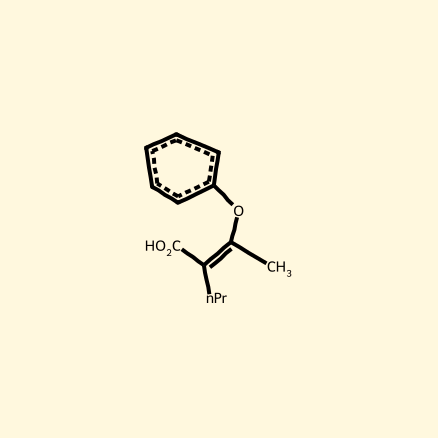 CCCC(C(=O)O)=C(C)Oc1ccccc1